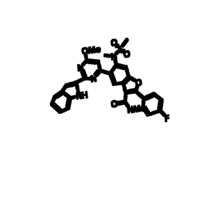 CNC(=O)c1c(-c2ccc(F)cc2)oc2cc(N(C)S(C)(=O)=O)c(-c3cc(OC)nc(-c4cc5ccccc5[nH]4)n3)cc12